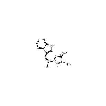 N#CC(=Cc1c[nH]c2ccccc12)n1cc(C#N)c(N)n1